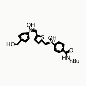 CCCCNC(=O)c1ccc(/[N+](O)=C/C2CC=C(/C=[N+](/O)c3ccc(CO)cc3)S2)cc1